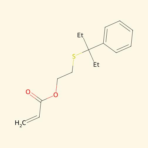 C=CC(=O)OCCSC(CC)(CC)c1ccccc1